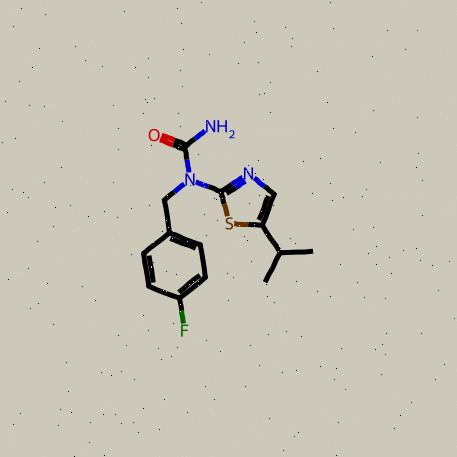 CC(C)c1cnc(N(Cc2ccc(F)cc2)C(N)=O)s1